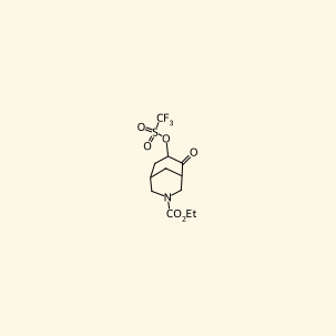 CCOC(=O)N1CC2CC(C1)C(=O)C(OS(=O)(=O)C(F)(F)F)C2